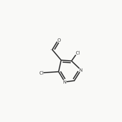 O=[C]c1c(Cl)ncnc1Cl